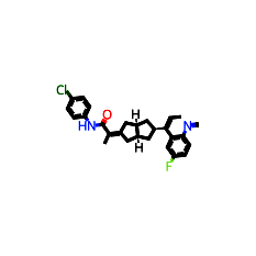 C=Nc1ccc(F)cc1/C(=C\C)[C@H]1C[C@H]2C/C(=C(\C)C(=O)Nc3ccc(Cl)cc3)C[C@H]2C1